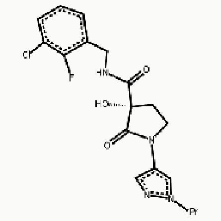 CC(C)n1cc(N2CC[C@](O)(C(=O)NCc3cccc(Cl)c3F)C2=O)cn1